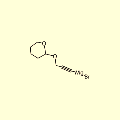 [Br][Mg][C]#CCOC1CCCCO1